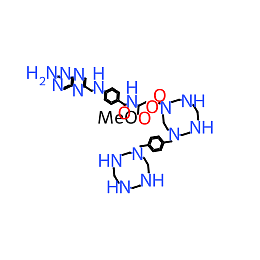 COC(=O)C(COC(=O)N1CCCN(Cc2ccc(CN3CCCNCCNCCCNCC3)cc2)CCNCCCNCC1)NC(=O)c1ccc(NCc2cnc3nc(N)ncc3n2)cc1